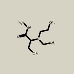 BNC(=O)C(CC)N(CC)CCC